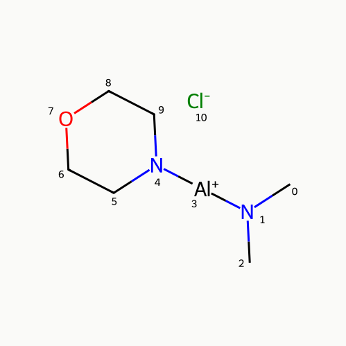 C[N](C)[Al+][N]1CCOCC1.[Cl-]